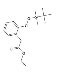 CCOC(=O)Cc1ccccc1OO[Si](C)(C)C(C)(C)C